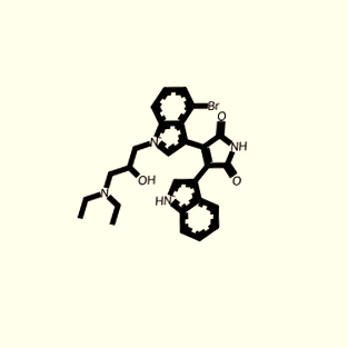 CCN(CC)CC(O)Cn1cc(C2=C(c3c[nH]c4ccccc34)C(=O)NC2=O)c2c(Br)cccc21